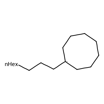 CCCCCCCCC[C]1CCCCCCC1